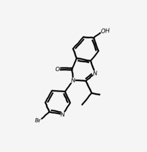 CC(C)c1nc2cc(O)ccc2c(=O)n1-c1ccc(Br)nc1